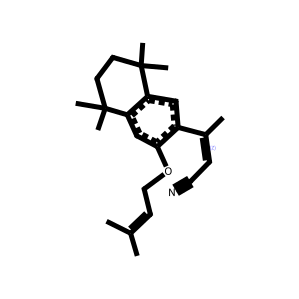 CC(C)=CCOc1cc2c(cc1/C(C)=C\C#N)C(C)(C)CCC2(C)C